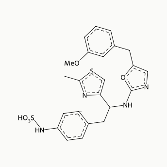 COc1cccc(Cc2cnc(NC(Cc3[c]cc(NS(=O)(=O)O)cc3)c3csc(C)n3)o2)c1